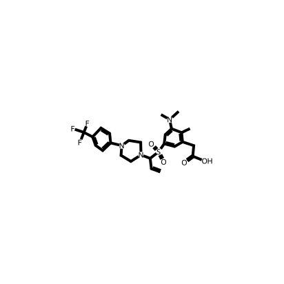 C=CC(N1CCN(c2ccc(C(F)(F)F)cc2)CC1)S(=O)(=O)c1cc(CC(=O)O)c(C)c(N(C)C)c1